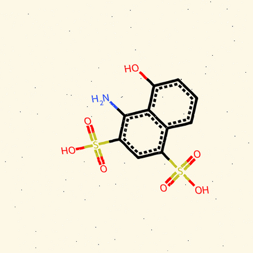 Nc1c(S(=O)(=O)O)cc(S(=O)(=O)O)c2cc[c]c(O)c12